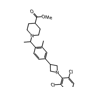 COC(=O)C1CCN(C(C)c2ccc(C3CN(c4c(Cl)cccc4Cl)C3)cc2C)CC1